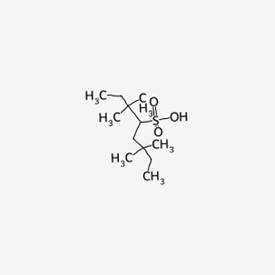 CCC(C)(C)CC(C(C)(C)CC)S(=O)(=O)O